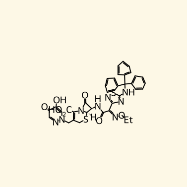 CCO/N=C(/C(=O)N[C@@H]1C(=O)N2C(C(=O)O)=C(Cn3cc(O)c(=O)cn3)CS[C@H]12)c1nsc(NC(c2ccccc2)(c2ccccc2)c2ccccc2)n1